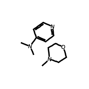 CN(C)c1ccncc1.CN1CCOCC1